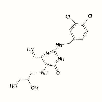 N=Cc1nc(NCc2ccc(Cl)c(Cl)c2)[nH]c(=O)c1NCC(O)CO